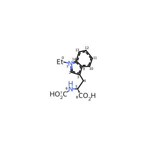 CCn1cc(C[C@H](NC(=O)O)C(=O)O)c2ccccc21